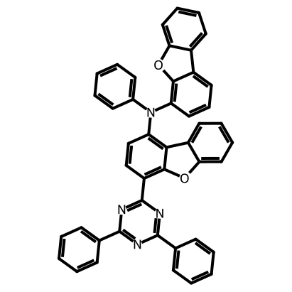 c1ccc(-c2nc(-c3ccccc3)nc(-c3ccc(N(c4ccccc4)c4cccc5c4oc4ccccc45)c4c3oc3ccccc34)n2)cc1